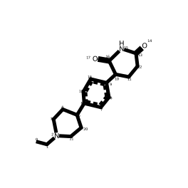 CCN1CCC(c2ccc(C3CCC(=O)NC3=O)cc2)CC1